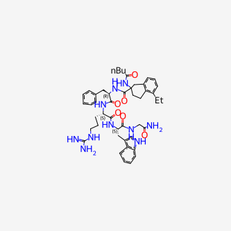 CCCCC(=O)NC1(C(=O)N[C@H](Cc2ccccc2)C(=O)N[C@@H](CCCNC(=N)N)C(=O)N[C@@H](Cc2c[nH]c3ccccc23)C(=O)NCC(N)=O)CCc2c(CC)cccc2C1